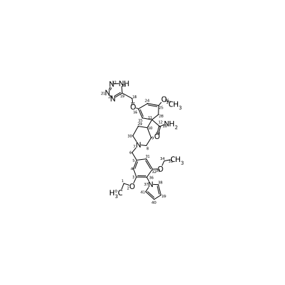 CCOc1cc(CN2CCC(C3(C(N)=O)C=C(OCc4nnn[nH]4)C=C(OC)C3)CC2)cc(OCC)c1-n1cccc1